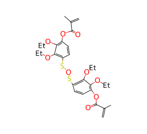 C=C(C)C(=O)Oc1ccc(SOSc2ccc(OC(=O)C(=C)C)c(OCC)c2OCC)c(OCC)c1OCC